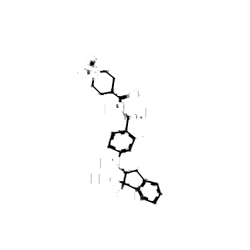 CC1(C)c2ccccc2CC1Nc1ccc([C@H](NC(=O)C2CCS(=O)(=O)CC2)C(F)(F)F)cc1